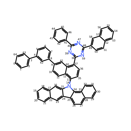 c1ccc(-c2cccc(-c3ccc4c(-n5c6cc7ccccc7cc6c6ccc7ccccc7c65)ccc(-c5nc(-c6ccccc6)nc(-c6ccc7ccccc7c6)n5)c4c3)c2)cc1